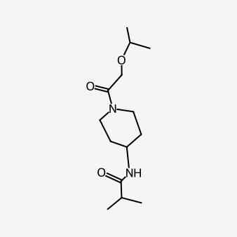 CC(C)OCC(=O)N1CCC(NC(=O)C(C)C)CC1